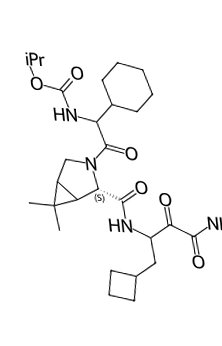 CC(C)OC(=O)NC(C(=O)N1CC2C([C@H]1C(=O)NC(CC1CCC1)C(=O)C(N)=O)C2(C)C)C1CCCCC1